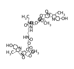 CCCNC(=O)C(CCCCNC(=O)COCC(=O)O[C@]1(CC)C(=O)OCc2c1cc1n(c2=O)Cc2c-1nc1ccc(O)cc1c2CC)NC(=O)COCC(=O)O[C@]1(CC)C(=O)OCc2c1cc1n(c2=O)Cc2c-1nc1ccc(O)cc1c2CC